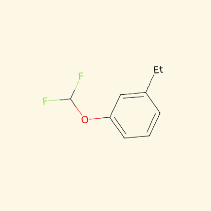 CCc1cccc(OC(F)F)c1